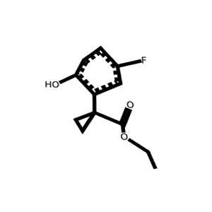 CCOC(=O)C1(c2cc(F)ccc2O)CC1